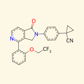 N#CC1(c2ccc(N3Cc4c(ccnc4-c4ccccc4OCC(F)(F)F)C3=O)cc2)CC1